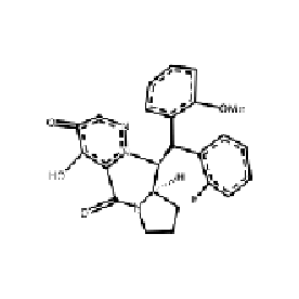 COc1ccccc1C(c1ccccc1F)[C@H]1[C@H]2CCCN2C(=O)c2c(O)c(=O)cnn21